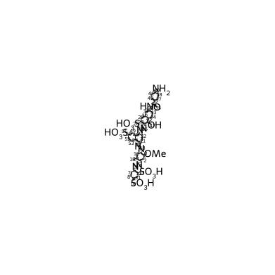 COc1cc(N=Nc2ccc(S(=O)(=O)O)cc2S(=O)(=O)O)c(C)cc1N=Nc1ccc(N=Nc2c(S(=O)(=O)O)cc3cc(NC(=O)c4ccc(N)cc4)ccc3c2O)c2cc(S(=O)(=O)O)ccc12